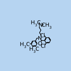 Cc1cc(C)cc(CN(CCCCN(C)C)C(=O)c2c(Cl)cccc2Cl)c1